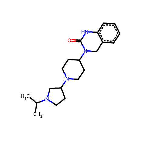 CC(C)N1CCC(N2CCC(N3Cc4ccccc4NC3=O)CC2)C1